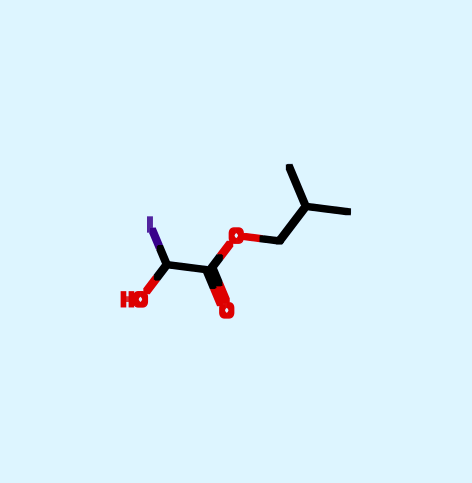 CC(C)COC(=O)C(O)I